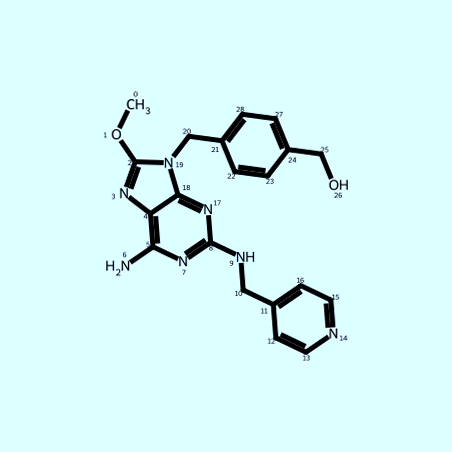 COc1nc2c(N)nc(NCc3ccncc3)nc2n1Cc1ccc(CO)cc1